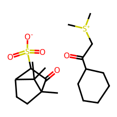 CC12CCC(C(S(=O)(=O)[O-])C1=O)C2(C)C.C[S+](C)CC(=O)C1CCCCC1